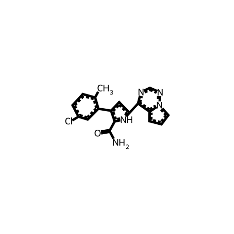 Cc1ccc(Cl)cc1-c1cc(-c2ncnn3cccc23)[nH]c1C(N)=O